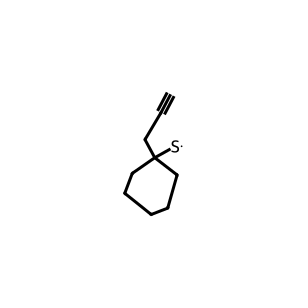 C#CCC1([S])CCCCC1